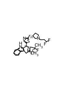 C[C@@H]1Cc2c([nH]c3ccccc23)[C@@H](c2cnc(C[C@@H]3CCN(CCC(F)F)C3)s2)N1CC(C)(C)F